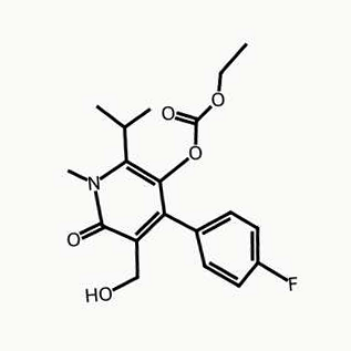 CCOC(=O)Oc1c(-c2ccc(F)cc2)c(CO)c(=O)n(C)c1C(C)C